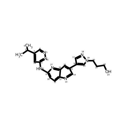 CC(C)c1cnnc(Nc2ccc3ncc(-c4cnn(CCCO)c4)cc3n2)c1